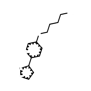 CCCCCOc1ccc(-c2ccn[nH]2)nc1